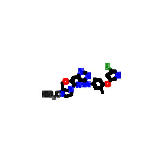 Cc1cc(Nc2ncnc3cc4c(nc23)N2CCN(C(=O)O)C(CO4)C2)ccc1Oc1cncc(F)c1